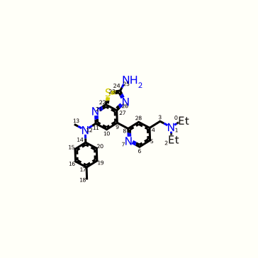 CCN(CC)Cc1ccnc(-c2cc(N(C)c3ccc(C)cc3)nc3sc(N)nc23)c1